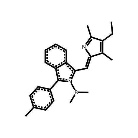 CCC1=C(C)/C(=C/c2c3ccccc3c(-c3ccc(C)cc3)n2B(C)C)N=C1C